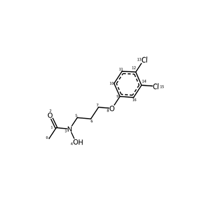 CC(=O)N(O)CCCOc1ccc(Cl)c(Cl)c1